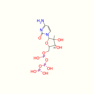 CC1(O)C(n2ccc(N)nc2=O)OC(COP(O)OP(O)OP(O)O)[C@@H]1O